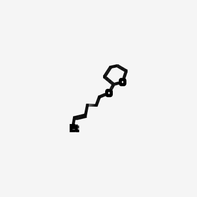 CCC=CCCCOC1CCCCO1